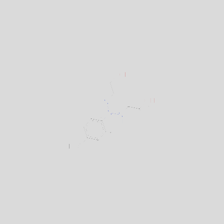 Cc1ccc(N(NCCO)NCCO)cc1